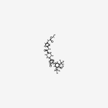 CCOC(=O)Cc1csc(CC(=O)N2CCC(c3nc(-c4cc(C(C)(C)C)c(OC)c(C(C)(C)C)c4)c(Cl)s3)CC2)n1